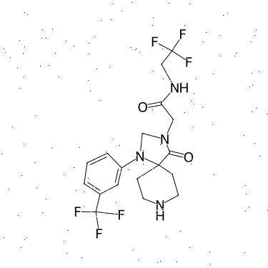 O=C(CN1CN(c2cccc(C(F)(F)F)c2)C2(CCNCC2)C1=O)NCC(F)(F)F